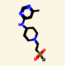 CCS(=O)(=O)CCN1CCC(Nc2cc(C)ncn2)CC1